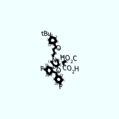 CC(C)(C)c1ccc(C(=O)CCCN2CCC(OC(c3ccc(F)cc3)c3ccc(F)cc3)CC2)cc1.O=C(O)/C=C/C(=O)O